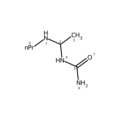 CCCNC(C)NC(N)=O